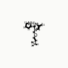 C[Si](C)(C)CCOCn1cc(I)nc1[C@@H]1CCCN1